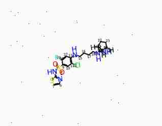 O=S(=O)(Nc1nccs1)c1cc(Cl)c(NCCCCN[C@@H]2[C@H]3CC[C@@H]2NC3)cc1F